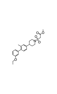 CCOc1cccc(-c2ccc(C3CCN(S(=O)(=O)CC(=O)OC)CC3)cc2C)c1